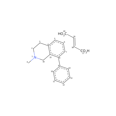 CN1CCc2cccc(-c3ccccc3)c2C1.O=C(O)C=CC(=O)O